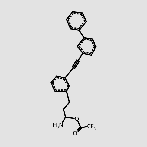 NC(CCc1cccc(C#Cc2cccc(-c3ccccc3)c2)c1)OC(=O)C(F)(F)F